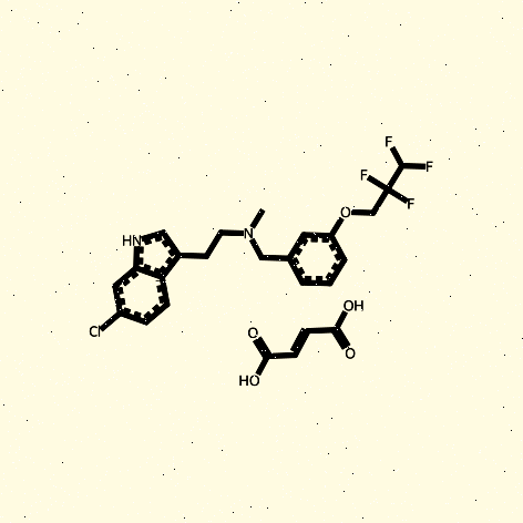 CN(CCc1c[nH]c2cc(Cl)ccc12)Cc1cccc(OCC(F)(F)C(F)F)c1.O=C(O)C=CC(=O)O